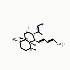 C/C(=C\C(C)C)[C@H]1[C@@H](/C=C/C=C/C(=O)O)[C@H]2[C@@H](C[C@@H]1C)[C@@H](O)CC[C@@H]2C